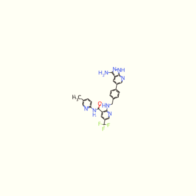 Cc1ccc(NC(=O)c2cc(C(F)(F)F)cnc2NCc2ccc(-c3cnc4[nH]nc(N)c4c3)cc2)nc1